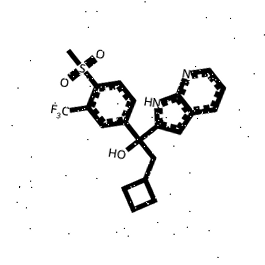 CS(=O)(=O)c1ccc(C(O)(CC2CCC2)c2cc3cccnc3[nH]2)cc1C(F)(F)F